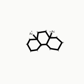 CC(=O)C12CCCCC1C1CCCCC1(C(C)=O)CC2